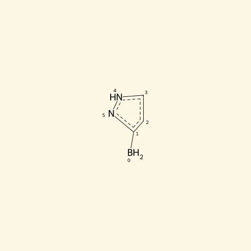 Bc1cc[nH]n1